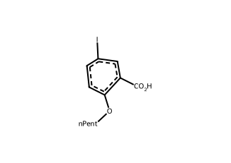 CCCCCOc1ccc(I)cc1C(=O)O